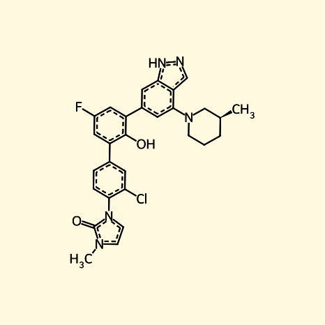 C[C@H]1CCCN(c2cc(-c3cc(F)cc(-c4ccc(-n5ccn(C)c5=O)c(Cl)c4)c3O)cc3[nH]ncc23)C1